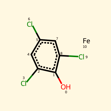 Oc1c(Cl)cc(Cl)cc1Cl.[Fe]